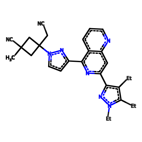 CCc1c(-c2cc3ncccc3c(-c3ccn(C4(CC#N)CC(C)(C#N)C4)n3)n2)nn(CC)c1CC